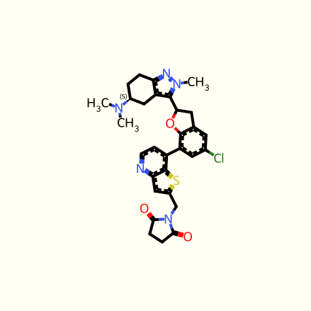 CN(C)[C@H]1CCc2nn(C)c(C3Cc4cc(Cl)cc(-c5ccnc6cc(CN7C(=O)CCC7=O)sc56)c4O3)c2C1